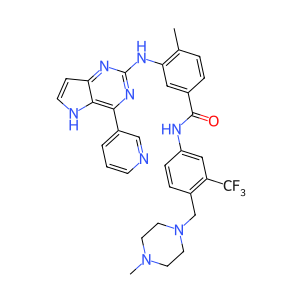 Cc1ccc(C(=O)Nc2ccc(CN3CCN(C)CC3)c(C(F)(F)F)c2)cc1Nc1nc(-c2cccnc2)c2[nH]ccc2n1